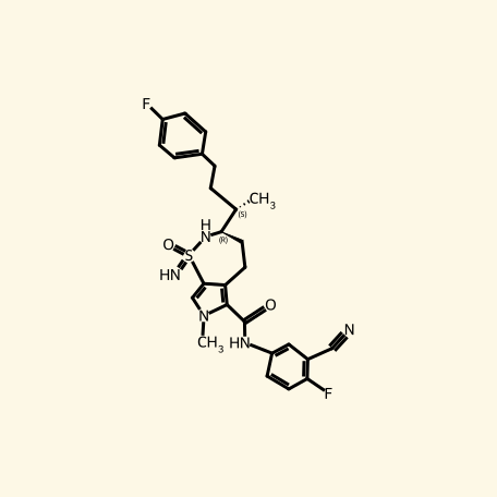 C[C@@H](CCc1ccc(F)cc1)[C@H]1CCc2c(cn(C)c2C(=O)Nc2ccc(F)c(C#N)c2)S(=N)(=O)N1